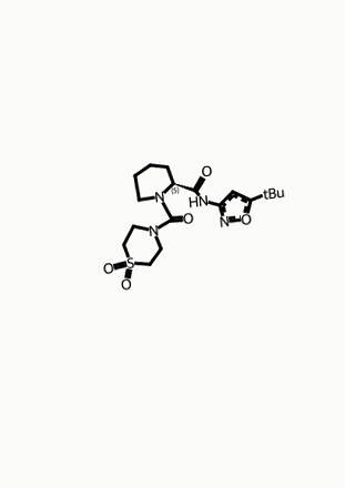 CC(C)(C)c1cc(NC(=O)[C@@H]2CCCCN2C(=O)N2CCS(=O)(=O)CC2)no1